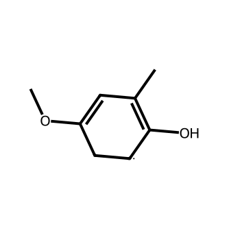 COC1=CC(C)=C(O)[CH]C1